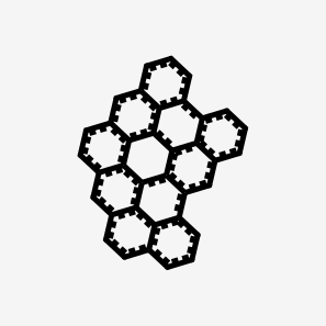 c1cc2ccc3cc4ccc5cc6cccc7c8cccc9cc%10c(c1)c2c3c1c4c5c(c67)c(c98)c%101